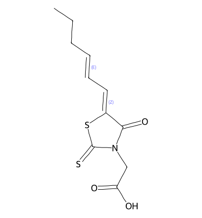 CCC/C=C/C=C1\SC(=S)N(CC(=O)O)C1=O